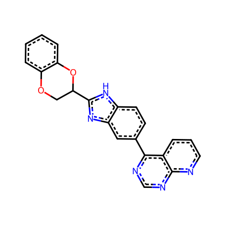 c1ccc2c(c1)OCC(c1nc3cc(-c4ncnc5ncccc45)ccc3[nH]1)O2